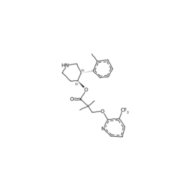 Cc1ccccc1[C@H]1CNCC[C@@H]1OC(=O)C(C)(C)COc1ncccc1C(F)(F)F